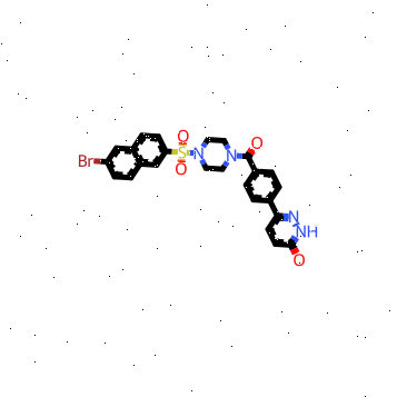 O=C(c1ccc(-c2ccc(=O)[nH]n2)cc1)N1CCN(S(=O)(=O)c2ccc3cc(Br)ccc3c2)CC1